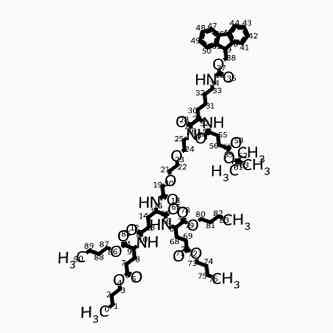 CCCCOC(=O)CCC(NC(=O)CCC(NC(=O)COCCOCCNC(=O)C(CCCCNC(=O)OCC1c2ccccc2-c2ccccc21)NC(=O)CCC(=O)OC(C)(C)C)C(=O)NC(CCC(=O)OCCCC)C(=O)OCCCC)C(=O)OCCCC